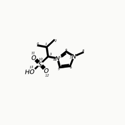 CC(C)C([n+]1ccn(C)c1)S(=O)(=O)O